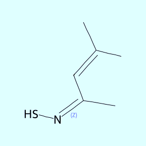 CC(C)=C/C(C)=N\S